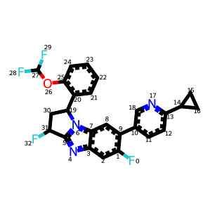 Fc1cc2nc3n(c2cc1-c1ccc(C2CC2)nc1)C(c1ccccc1OC(F)F)CC3F